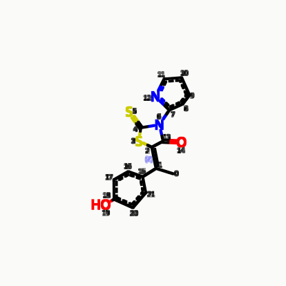 C/C(=C1/SC(=S)N(c2ccccn2)C1=O)c1ccc(O)cc1